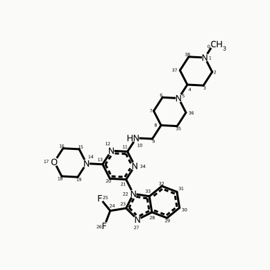 CN1CCC(N2CCC(CNc3nc(N4CCOCC4)cc(-n4c(C(F)F)nc5ccccc54)n3)CC2)CC1